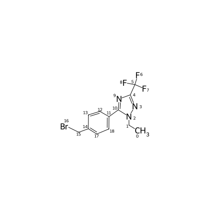 CCn1nc(C(F)(F)F)nc1-c1ccc(CBr)cc1